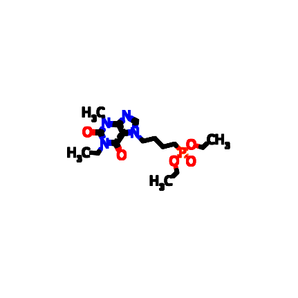 CCOP(=O)(CCCCn1cnc2c1c(=O)n(CC)c(=O)n2C)OCC